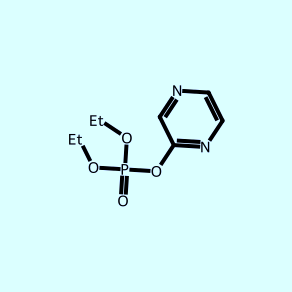 CCOP(=O)(OCC)Oc1cnccn1